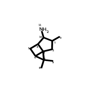 CC1CC23C(CC2C3(C)C)C1N